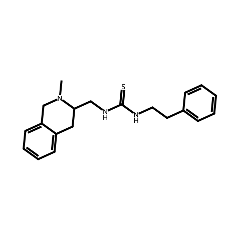 CN1Cc2ccccc2CC1CNC(=S)NCCc1ccccc1